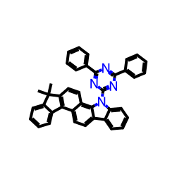 CC1(C)c2ccccc2-c2c1ccc1c2ccc2c3ccccc3n(-c3nc(-c4ccccc4)nc(-c4ccccc4)n3)c12